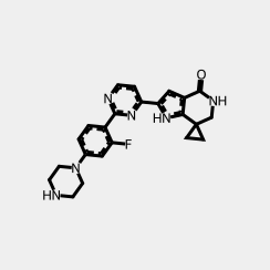 O=C1NCC2(CC2)c2[nH]c(-c3ccnc(-c4ccc(N5CCNCC5)cc4F)n3)cc21